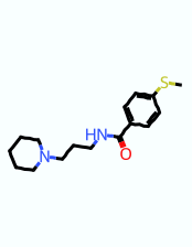 CSc1ccc(C(=O)NCCCN2CCCCC2)cc1